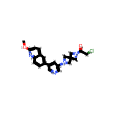 COc1ccc2cc(-c3cncc(N4CC5(CN(C(=O)CCl)C5)C4)c3)ccc2n1